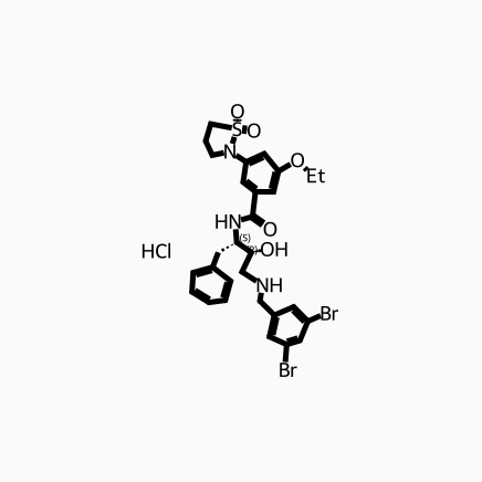 CCOc1cc(C(=O)N[C@@H](Cc2ccccc2)[C@H](O)CNCc2cc(Br)cc(Br)c2)cc(N2CCCS2(=O)=O)c1.Cl